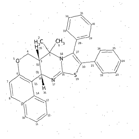 CC1(C)[C@H]2COc3ccc4ccccc4c3[C@H]2N=C2SC(c3ccccc3)=C(c3ccccc3)N21